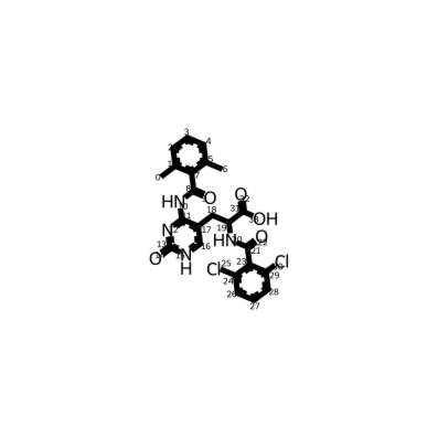 Cc1cccc(C)c1C(=O)Nc1nc(=O)[nH]cc1CC(NC(=O)c1c(Cl)cccc1Cl)C(=O)O